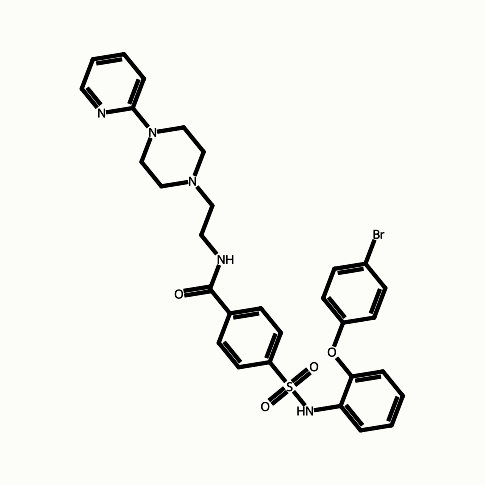 O=C(NCCN1CCN(c2ccccn2)CC1)c1ccc(S(=O)(=O)Nc2ccccc2Oc2ccc(Br)cc2)cc1